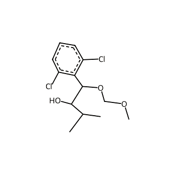 COCOC(c1c(Cl)cccc1Cl)C(O)C(C)C